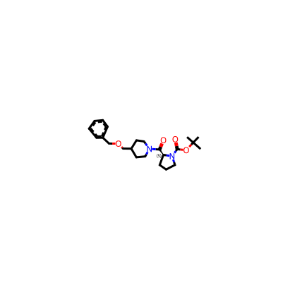 CC(C)(C)OC(=O)N1CCC[C@H]1C(=O)N1CCC(COCc2ccccc2)CC1